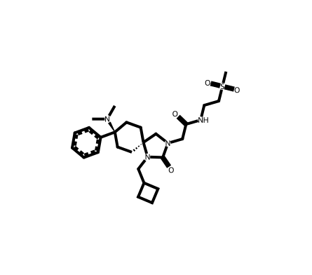 CN(C)[C@]1(c2ccccc2)CC[C@]2(CC1)CN(CC(=O)NCCS(C)(=O)=O)C(=O)N2CC1CCC1